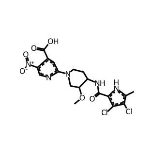 COC1CN(c2cc(C(=O)O)c([N+](=O)[O-])cn2)CCC1NC(=O)c1[nH]c(C)c(Cl)c1Cl